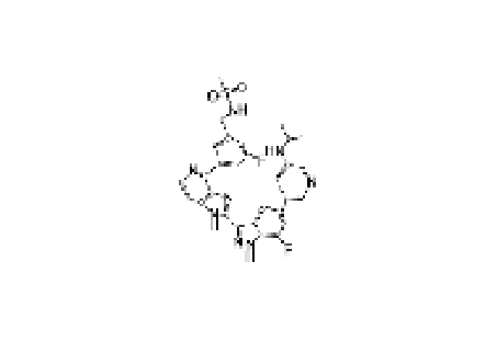 CC(C)Nc1cncc(-c2cc(F)c3[nH]nc(-c4nc5c(-c6cc(F)cc(CNS(C)(=O)=O)c6)nccc5[nH]4)c3c2)c1